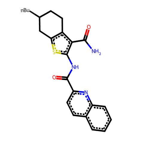 CCCCC1CCc2c(sc(NC(=O)c3ccc4ccccc4n3)c2C(N)=O)C1